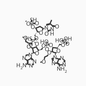 COCCOC1[C@@H](OP(=O)(O)OC[C@H]2O[C@@H](n3cnc4c(N)ncnc43)C(OCCOC)[C@H]2OP(=O)(S)OC[C@H]2O[C@@H](n3cc(C)c(=O)[nH]c3=O)C[C@H]2OP(=O)(S)OC)[C@@H](COP(=O)(O)O)O[C@H]1n1cnc2c(N)ncnc21